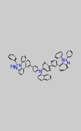 c1ccc(-c2nc3cccc(-c4cccc(-c5ccc(N(c6ccc(-c7cccc(-c8cccc9c8N(c8ccccc8)C(c8ccccc8)N9)c7)cc6)c6cccc7ccccc67)cc5)c4)c3n2-c2ccccc2)cc1